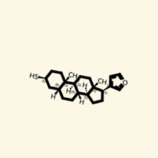 C[C@]12CC[C@H](S)C[C@H]1CC[C@@H]1[C@@H]2CC[C@]2(C)[C@@H](c3ccoc3)CC[C@@H]12